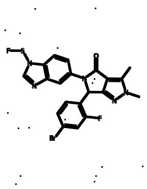 Cc1c2c(nn1C)C(c1ccc(Br)cc1F)N(c1ccc3c(c1)ncn3SF)C2=O